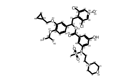 CS(=O)(=O)N(CCN1CCOCC1)c1cc(O)cc(C(=O)OC(Cc2c(Cl)c[n+]([O-])cc2Cl)c2ccc(OC(F)F)c(OCC3CC3)c2)c1